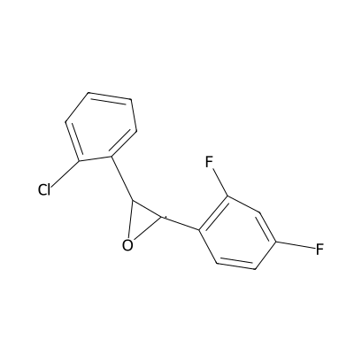 Fc1ccc([C]2OC2c2ccccc2Cl)c(F)c1